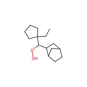 CCC1(C(OO)C2CC3CCC2C3)CCCC1